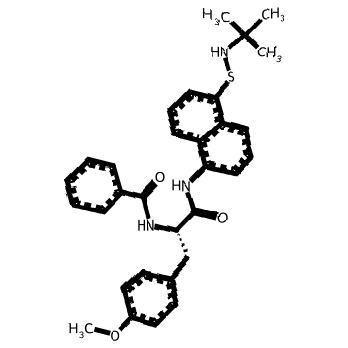 COc1ccc(C[C@H](NC(=O)c2ccccc2)C(=O)Nc2cccc3c(SNC(C)(C)C)cccc23)cc1